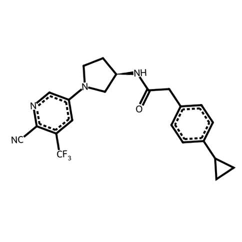 N#Cc1ncc(N2CC[C@@H](NC(=O)Cc3ccc(C4CC4)cc3)C2)cc1C(F)(F)F